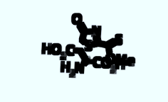 COC(=S)C1=NC(=O)CS1.N[C@@H](CC(=O)O)C(=O)O